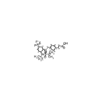 CC(C)N(c1ccc(C(F)(F)F)cc1OCc1ccc(/C=C/C(=O)O)cc1)S(=O)(=O)C(C)C